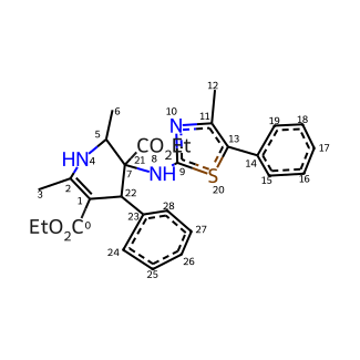 CCOC(=O)C1=C(C)NC(C)C(Nc2nc(C)c(-c3ccccc3)s2)(C(=O)OCC)C1c1ccccc1